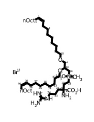 CCCCCCCC/C=C\CCCCCCCCOCC(C[N+](C)(C)CC[C@](N)(CCCNC(=N)N)C(=O)O)OCCCCCCCC/C=C\CCCCCCCC.[Br-]